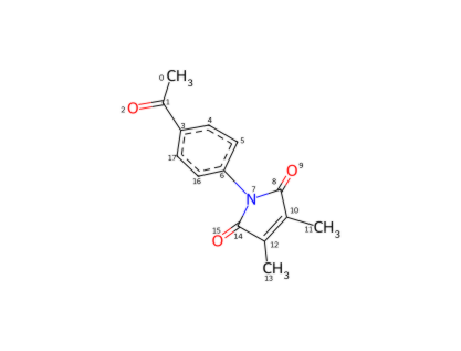 CC(=O)c1ccc(N2C(=O)C(C)=C(C)C2=O)cc1